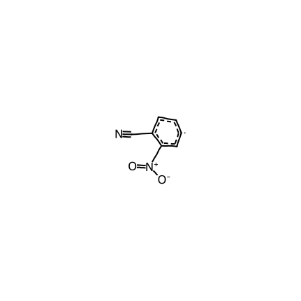 N#Cc1cc[c]cc1[N+](=O)[O-]